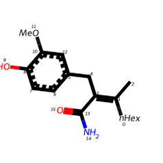 CCCCCCC(C)=C(Cc1ccc(O)c(OC)c1)C(N)=O